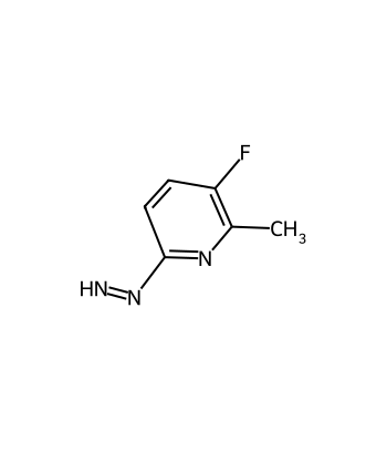 Cc1nc(N=N)ccc1F